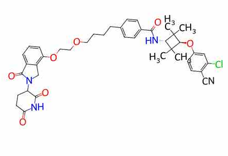 CC1(C)[C@H](NC(=O)c2ccc(CCCCOCCOc3cccc4c3CN(C3CCC(=O)NC3=O)C4=O)cc2)C(C)(C)[C@H]1Oc1ccc(C#N)c(Cl)c1